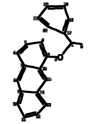 CC(Oc1cccc2cc3ccccc3cc12)c1ccccc1